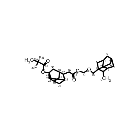 CC1C2CC3CC(C2)CC1(COCOC(=O)CC1C2CC4CC1CC(OC(=O)C(C)(F)F)(C4)C2)C3